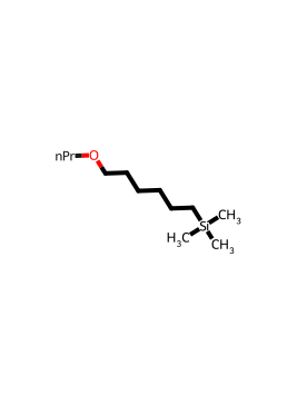 CCCOCCCCCC[Si](C)(C)C